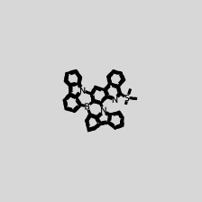 CS(C)(C)c1nc2c3c4c(cc2c2ccccc12)-n1c2ccccc2c2cccc(c21)B4c1cccc2c4ccccc4n-3c12